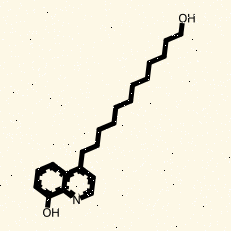 OCCCCCCCCCCCCc1ccnc2c(O)cccc12